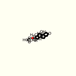 C[C@]12C=CC(=O)C=C1CC[C@H]1[C@@H]3C[C@H]4OCO[C@@]4(C(=O)COP(=O)(O)O)[C@@]3(C)C[C@H](O)[C@@]12F